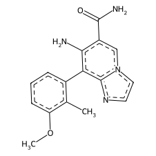 COc1cccc(-c2c(N)c(C(N)=O)cn3ccnc23)c1C